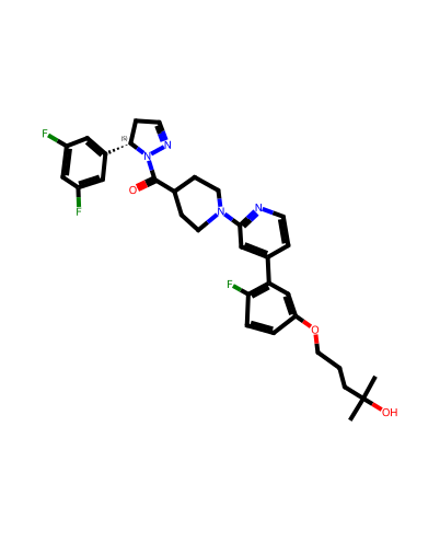 CC(C)(O)CCCOc1ccc(F)c(-c2ccnc(N3CCC(C(=O)N4N=CC[C@H]4c4cc(F)cc(F)c4)CC3)c2)c1